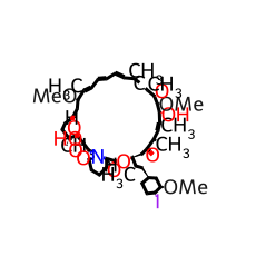 CO[C@H]1C[C@@H]2CC[C@@H](C)[C@@](O)(O2)C(=O)C(=O)N2CCCC[C@H]2C(=O)O[C@H]([C@H](C)C[C@@H]2CC[C@@H](I)[C@H](OC)C2)CC(=O)[C@H](C)/C=C(\C)[C@@H](O)[C@@H](OC)C(=O)[C@H](C)C[C@H](C)/C=C/C=C/C=C/1C